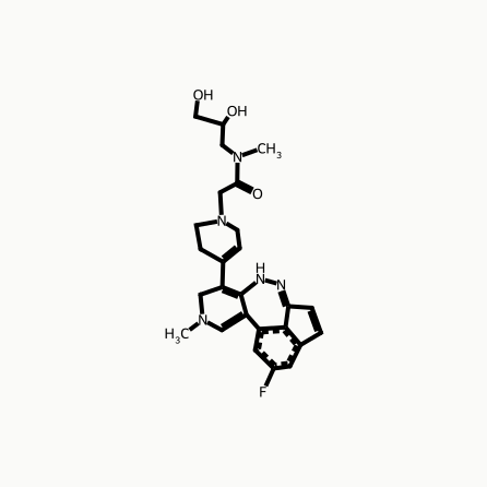 CN1C=C2C(=C(C3=CCN(CC(=O)N(C)CC(O)CO)CC3)C1)NN=C1C=Cc3cc(F)cc2c31